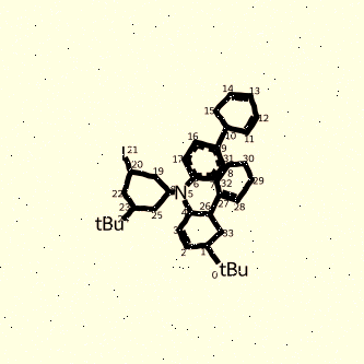 CC(C)(C)C1C=CC(N(c2ccc(C3C=CC=CC3)cc2)C2CC(I)CC(C(C)(C)C)C2)C(C2=CCCCC2)C1